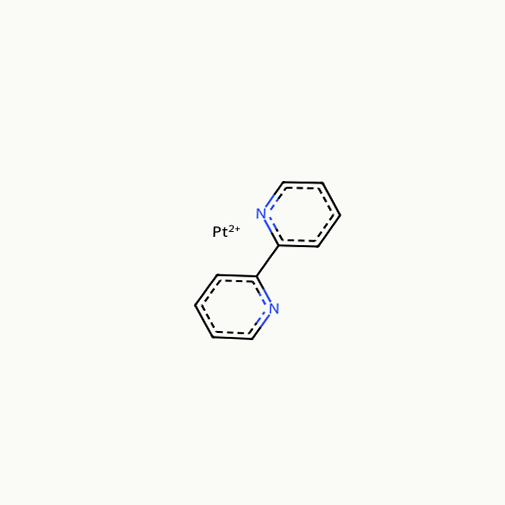 [Pt+2].c1ccc(-c2ccccn2)nc1